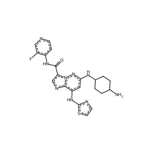 NC1CCC(Nc2cc(Nc3nccs3)c3ncc(C(=O)Nc4ccncc4F)n3n2)CC1